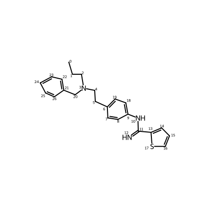 CCCN(CCc1ccc(NC(=N)c2cccs2)cc1)Cc1ccccc1